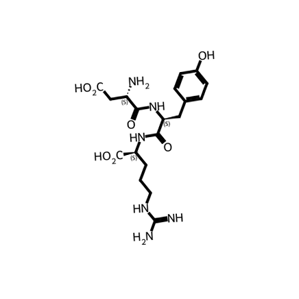 N=C(N)NCCC[C@H](NC(=O)[C@H](Cc1ccc(O)cc1)NC(=O)[C@@H](N)CC(=O)O)C(=O)O